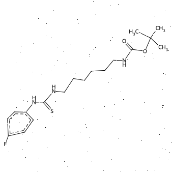 CC(C)(C)OC(=O)NCCCCCCNC(=S)Nc1ccc(F)cc1